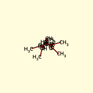 CCCCCCCCCCCCOC(=O)CCN(CCCNc1nc(NCCCN(CCC(=O)OCCCCCCCCCCCC)CCC(=O)OCCCCCCCCCCCC)nc(NCCN(CC)CC)n1)CCC(=O)OCCCCCCCCCCCC